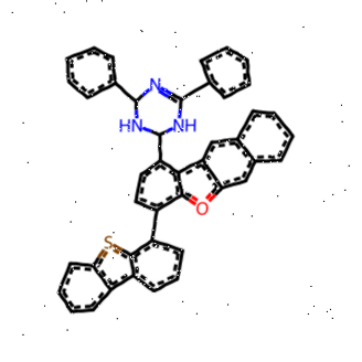 c1ccc(C2=NC(c3ccccc3)NC(c3ccc(-c4cccc5c4sc4ccccc45)c4oc5cc6ccccc6cc5c34)N2)cc1